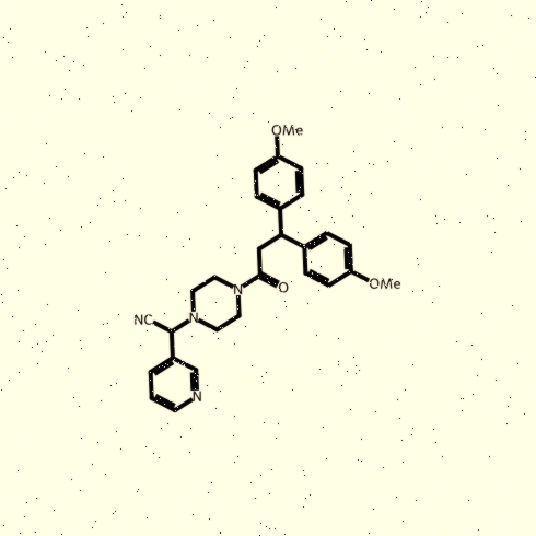 COc1ccc(C(CC(=O)N2CCN(C(C#N)c3cccnc3)CC2)c2ccc(OC)cc2)cc1